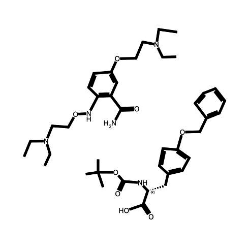 CC(C)(C)OC(=O)N[C@H](Cc1ccc(OCc2ccccc2)cc1)C(=O)O.CCN(CC)CCONc1ccc(OCCN(CC)CC)cc1C(N)=O